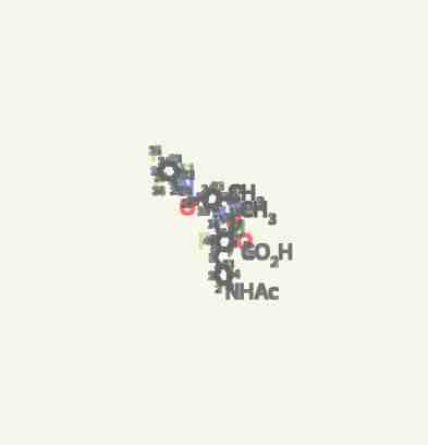 CC(=O)Nc1ccc(Cc2cc(OC(=O)O)c(Cl)c(CN3C(=O)N(C)[C@@H](C)c4ccc(C(=O)NCc5c(F)cc(F)cc5F)cc43)c2F)cc1